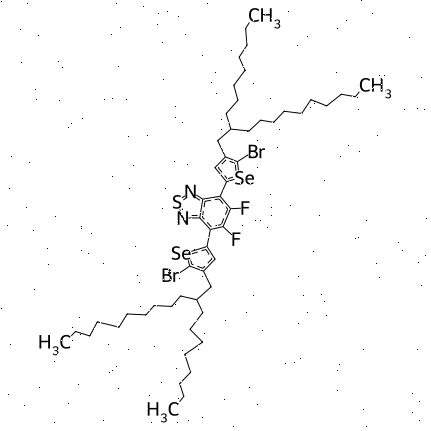 CCCCCCCCCCC(CCCCCCCC)Cc1cc(-c2c(F)c(F)c(-c3cc(CC(CCCCCCCC)CCCCCCCCCC)c(Br)[se]3)c3nsnc23)[se]c1Br